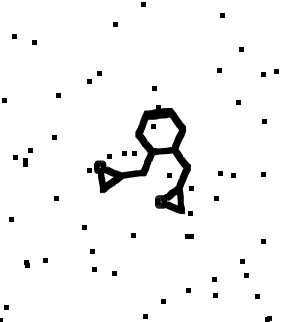 C1=CCC(CC2CO2)C(CC2CO2)C1